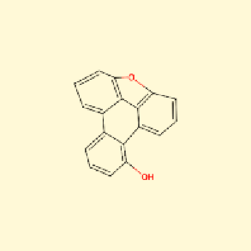 Oc1cccc2c3cccc4oc5cccc(c12)c5c43